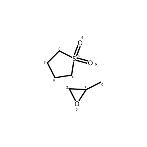 CC1CO1.O=S1(=O)CCCC1